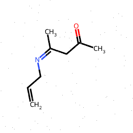 C=CCN=C(C)CC(C)=O